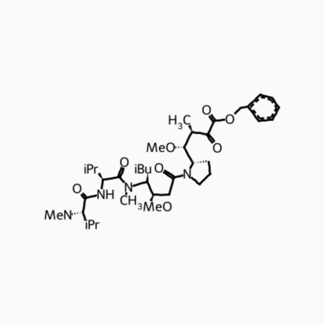 CC[C@H](C)C([C@@H](CC(=O)N1CCC[C@H]1[C@H](OC)[C@@H](C)C(=O)C(=O)OCc1ccccc1)OC)N(C)C(=O)[C@@H](NC(=O)[C@@H](NC)C(C)C)C(C)C